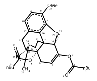 CCCCC(=O)OC1=CC[C@@]2(OC(=O)CCCC)[C@H]3Cc4ccc(OC)c5c4C2(CCN3C)[C@H]1O5